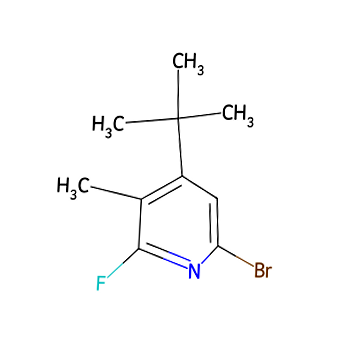 Cc1c(C(C)(C)C)cc(Br)nc1F